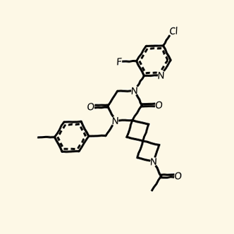 CC(=O)N1CC2(C1)CC1(C2)C(=O)N(c2ncc(Cl)cc2F)CC(=O)N1Cc1ccc(C)cc1